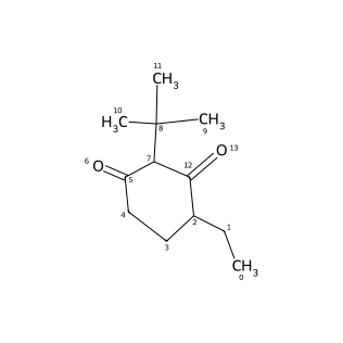 CCC1CCC(=O)C(C(C)(C)C)C1=O